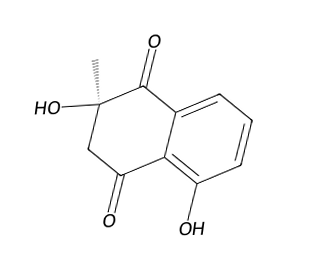 C[C@@]1(O)CC(=O)c2c(O)cccc2C1=O